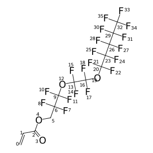 C=CC(=O)OCC(F)(F)C(F)(F)OC(F)(F)C(F)(F)OC(F)(F)C(F)(F)C(F)(F)C(F)(F)C(F)(F)F